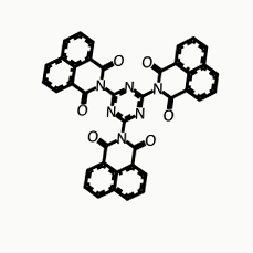 O=C1c2cccc3cccc(c23)C(=O)N1c1nc(N2C(=O)c3cccc4cccc(c34)C2=O)nc(N2C(=O)c3cccc4cccc(c34)C2=O)n1